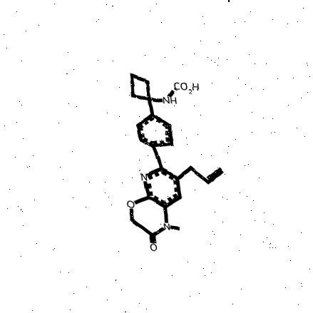 C=CCc1cc2c(nc1-c1ccc(C3(NC(=O)O)CCC3)cc1)OCC(=O)N2C